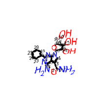 NC(=O)c1cn([C@@H]2O[C@H](CO)[C@@H](O)[C@H]2O)c2nc(-c3ccccc3)nc(N)c12